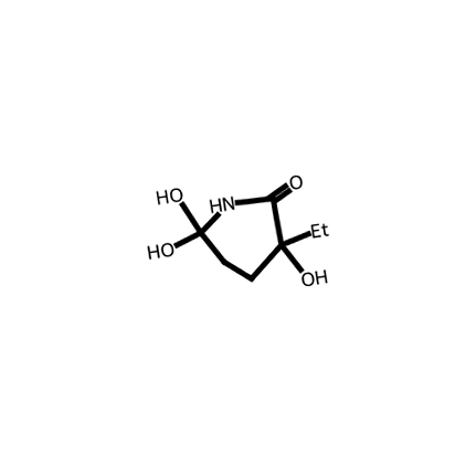 CCC1(O)CCC(O)(O)NC1=O